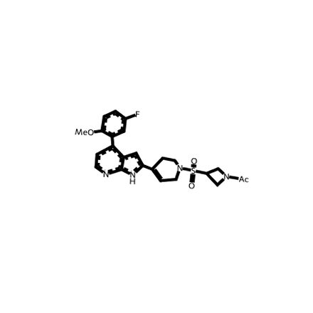 COc1ccc(F)cc1-c1ccnc2[nH]c(C3=CCN(S(=O)(=O)C4CN(C(C)=O)C4)CC3)cc12